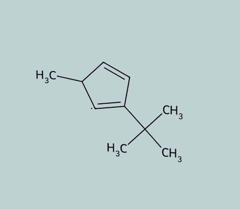 CC1[C]=C(C(C)(C)C)C=C1